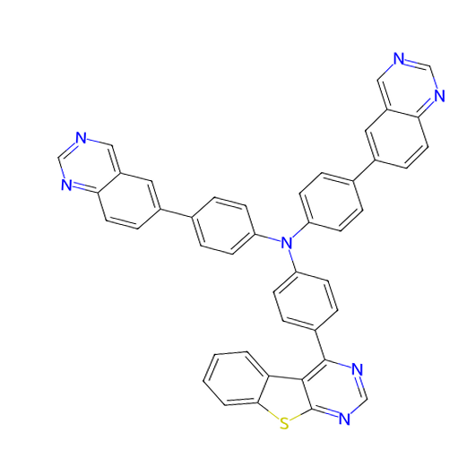 c1ccc2c(c1)sc1ncnc(-c3ccc(N(c4ccc(-c5ccc6ncncc6c5)cc4)c4ccc(-c5ccc6ncncc6c5)cc4)cc3)c12